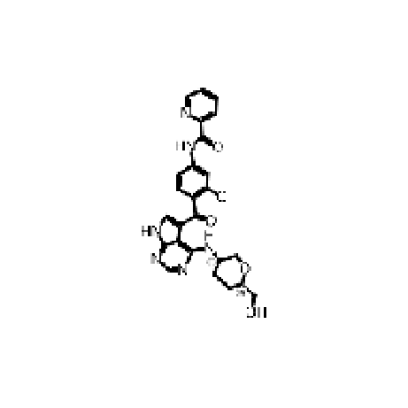 O=C(Nc1ccc(C(=O)c2c[nH]c3ncnc(N[C@@H]4CC[C@H](CO)OC4)c23)c(Cl)c1)c1ccccn1